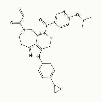 C=CC(=O)N1CCc2nn(-c3ccc(C4CC4)cc3)c3c2[C@@H](C1)N(C(=O)c1ccc(OC(C)C)nc1)CC3